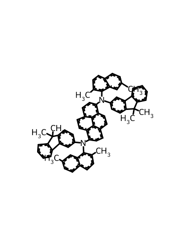 Cc1ccc2ccc(C)c(N(c3ccc4c(c3)-c3ccccc3C4(C)C)c3ccc4ccc5c(N(c6ccc7c(c6)-c6ccccc6C7(C)C)c6c(C)ccc7ccc(C)cc67)ccc6ccc3c4c65)c2c1